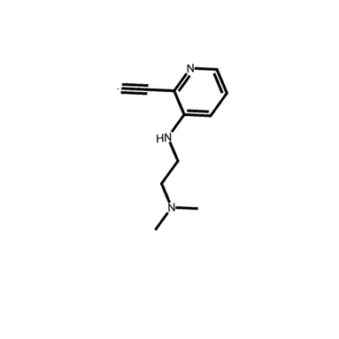 [C]#Cc1ncccc1NCCN(C)C